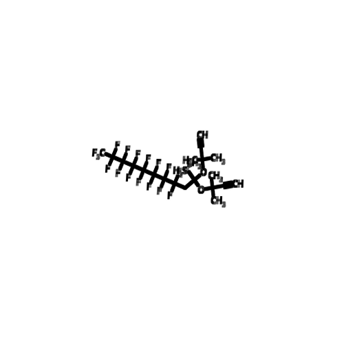 C#CC(C)(C)OC(CC(F)(F)C(F)(F)C(F)(F)C(F)(F)C(F)(F)C(F)(F)C(F)(F)C(F)(F)F)(OC(C)(C)C#C)[SiH2]C